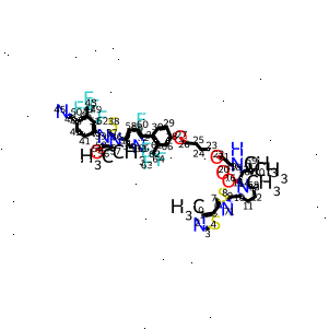 Cc1ncsc1-c1csc(C2CCCN2C(=O)C(NC(=O)COCCCCOc2ccc(-c3ncc(N4C(=S)N(c5ccc(C#N)c(C(F)(F)F)c5F)C(=O)C4(C)C)cc3F)c(C(F)(F)F)c2)C(C)(C)C)n1